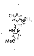 COc1ccc2c(c1)N/C(=C/C1=CC=[N+](C)C3C=CC(Cl)=CC13)S2